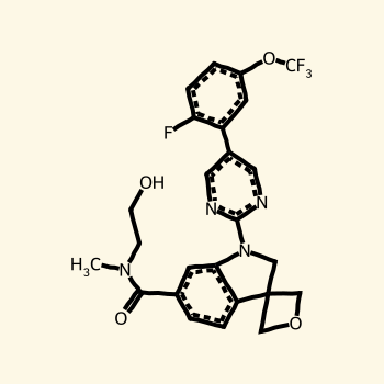 CN(CCO)C(=O)c1ccc2c(c1)N(c1ncc(-c3cc(OC(F)(F)F)ccc3F)cn1)CC21COC1